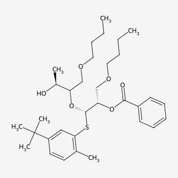 CCCCOCC(O[C@@H](Sc1cc(C(C)(C)C)ccc1C)[C@H](COCCCC)OC(=O)c1ccccc1)[C@H](C)O